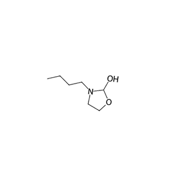 CCCCN1CCOC1O